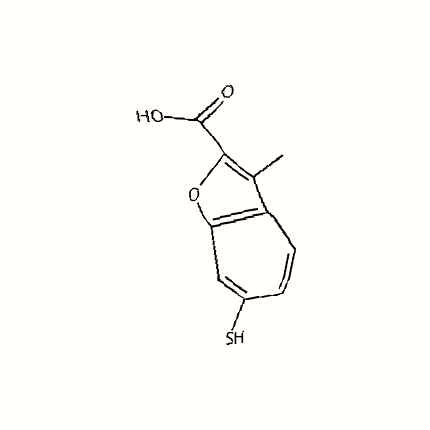 Cc1c(C(=O)O)oc2cc(S)ccc12